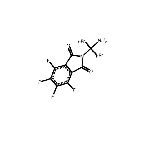 CCCC(N)(CCC)N1C(=O)c2c(F)c(F)c(F)c(F)c2C1=O